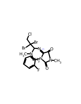 CN1C(=O)/C(=N/C(N(C)C)C(Br)(Br)CCl)N(c2ccccc2F)C1=O